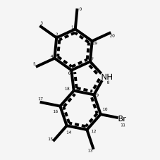 Cc1c(C)c(C)c2c([nH]c3c(Br)c(C)c(C)c(C)c32)c1C